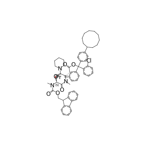 CC(C)[C@@H](C(=O)N(C)[C@@H](CC(=O)OC(c1ccccc1)(c1ccc(C2CCCCCCCCC2)cc1)c1ccccc1Cl)C(=O)N1CCCCC1)N(C)C(=O)OCC1c2ccccc2-c2ccccc21